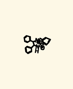 Cc1ccccc1S(=O)(=O)NC(c1ccccc1)C(N)c1ccccc1